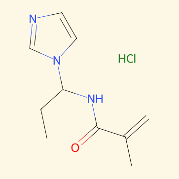 C=C(C)C(=O)NC(CC)n1ccnc1.Cl